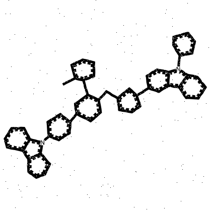 Cc1ccccc1-c1cc(-c2ccc(-n3c4ccccc4c4ccccc43)cc2)ccc1Cc1cccc(-c2ccc3c(c2)c2ccccc2n3-c2ccccc2)c1